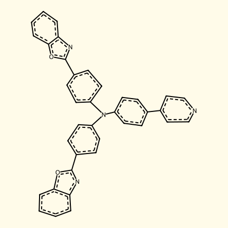 c1ccc2oc(-c3ccc(N(c4ccc(-c5ccncc5)cc4)c4ccc(-c5nc6ccccc6o5)cc4)cc3)nc2c1